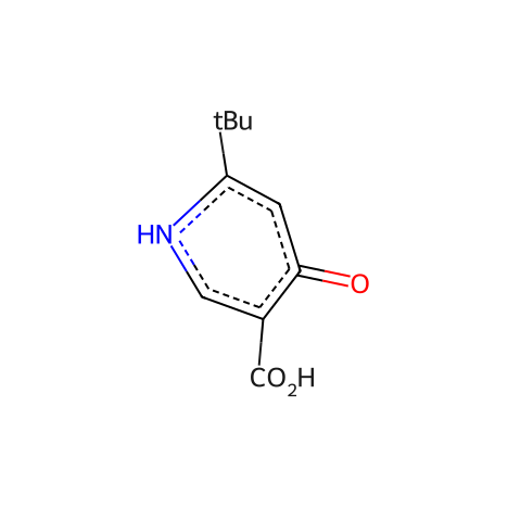 CC(C)(C)c1cc(=O)c(C(=O)O)c[nH]1